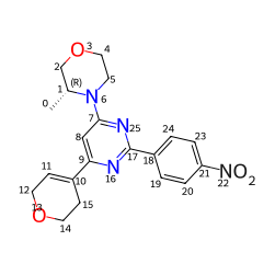 C[C@@H]1COCCN1c1cc(C2=CCOCC2)nc(-c2ccc([N+](=O)[O-])cc2)n1